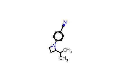 CC(C)C1CCN1c1ccc(C#N)cc1